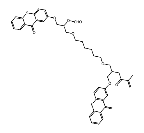 C=C(C)C(=O)CC(COCCCCCCOCC(COc1ccc2sc3ccccc3c(=O)c2c1)OC=O)COc1ccc2c(c1)C(=C)c1ccccc1S2